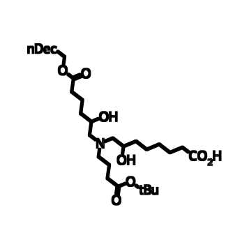 CCCCCCCCCCCOC(=O)CCCC(O)CN(CCCC(=O)OC(C)(C)C)CC(O)CCCCCC(=O)O